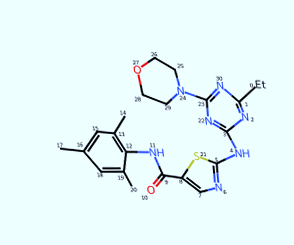 CCc1nc(Nc2ncc(C(=O)Nc3c(C)cc(C)cc3C)s2)nc(N2CCOCC2)n1